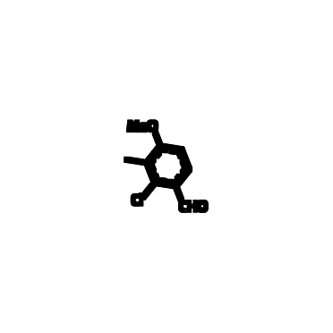 COc1ccc(C=O)c(Cl)c1C